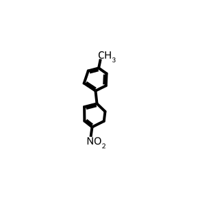 Cc1ccc(C2=CC=C([N+](=O)[O-])CC2)cc1